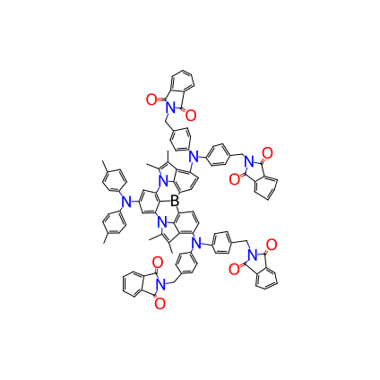 Cc1ccc(N(c2ccc(C)cc2)c2cc3c4c(c2)-n2c(C)c(C)c5c(N(c6ccc(CN7C(=O)c8ccccc8C7=O)cc6)c6ccc(CN7C(=O)c8ccccc8C7=O)cc6)ccc(c52)B4c2ccc(N(c4ccc(CN5C(=O)c6ccccc6C5=O)cc4)c4ccc(CN5C(=O)c6ccccc6C5=O)cc4)c4c(C)c(C)n-3c24)cc1